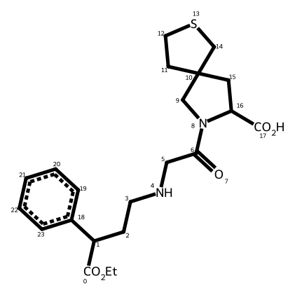 CCOC(=O)C(CCNCC(=O)N1CC2(CCSC2)CC1C(=O)O)c1ccccc1